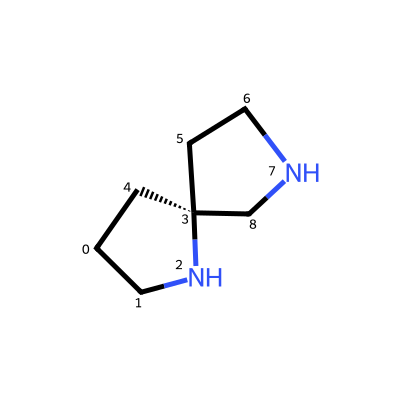 C1CN[C@@]2(C1)CCNC2